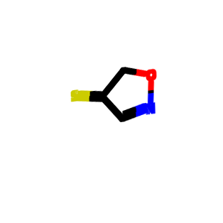 S=C1C=NOC1